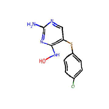 Nc1ncc(Sc2ccc(Cl)cc2)c(NO)n1